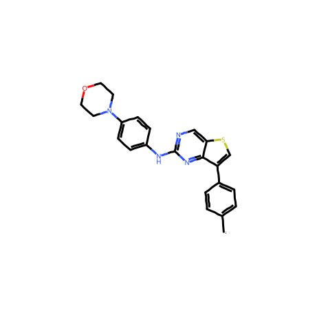 [CH]c1ccc(-c2csc3cnc(Nc4ccc(N5CCOCC5)cc4)nc23)cc1